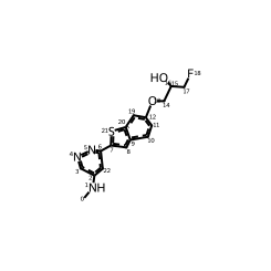 CNc1cnnc(-c2cc3ccc(OCC(O)CF)cc3s2)c1